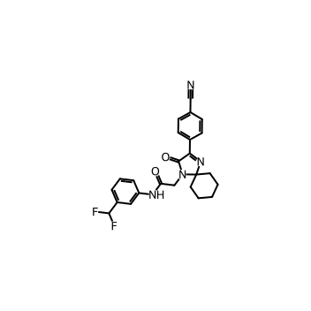 N#Cc1ccc(C2=NC3(CCCCC3)N(CC(=O)Nc3cccc(C(F)F)c3)C2=O)cc1